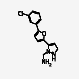 NCN1NCC=C1c1ccc(-c2cccc(Cl)c2)o1